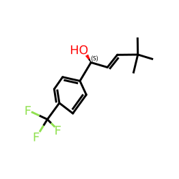 CC(C)(C)C=C[C@H](O)c1ccc(C(F)(F)F)cc1